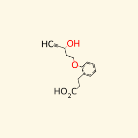 C#C[C@H](O)CCOc1ccccc1CCC(=O)O